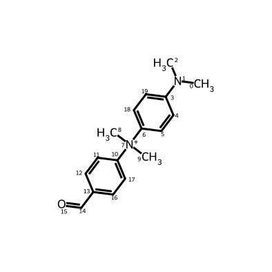 CN(C)c1ccc([N+](C)(C)c2ccc(C=O)cc2)cc1